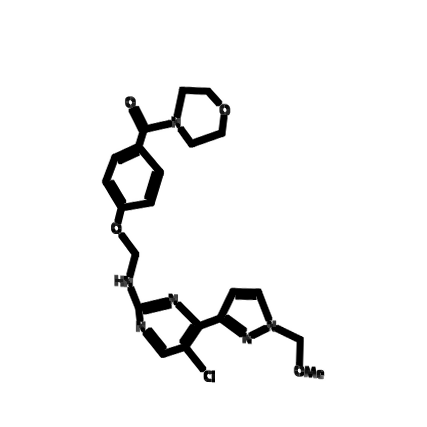 COCn1ccc(-c2nc(NCOc3ccc(C(=O)N4CCOCC4)cc3)ncc2Cl)n1